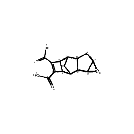 O=C(O)C1=C(C(=O)O)C2C3CC(C4CC5OC5C43)C12